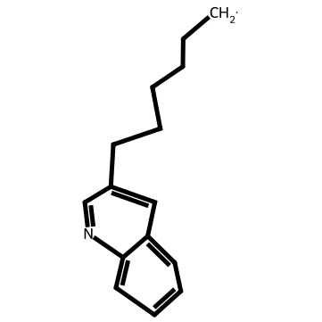 [CH2]CCCCCc1cnc2ccccc2c1